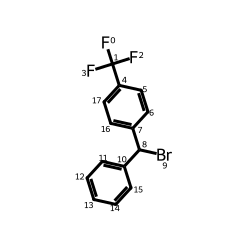 FC(F)(F)c1ccc(C(Br)c2ccccc2)cc1